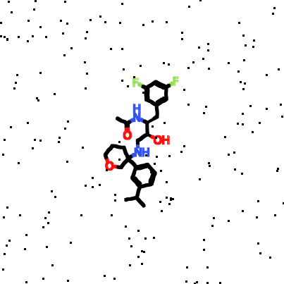 CC(=O)N[C@@H](Cc1cc(F)cc(F)c1)[C@@H](O)CNC1(c2cccc(C(C)C)c2)CCCOC1